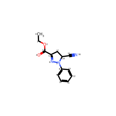 CCOC(=O)C1=NN(c2ccccc2)C(C#N)C1